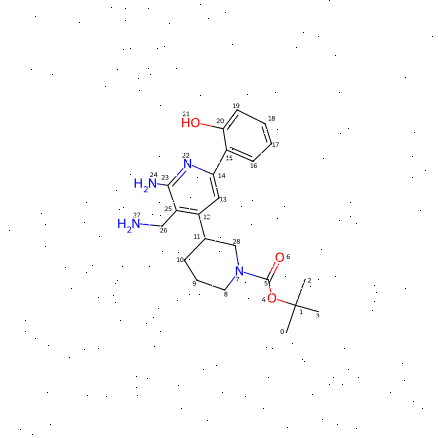 CC(C)(C)OC(=O)N1CCCC(c2cc(-c3ccccc3O)nc(N)c2CN)C1